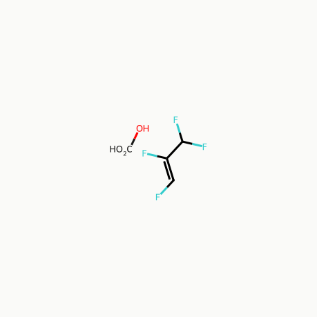 FC=C(F)C(F)F.O=C(O)O